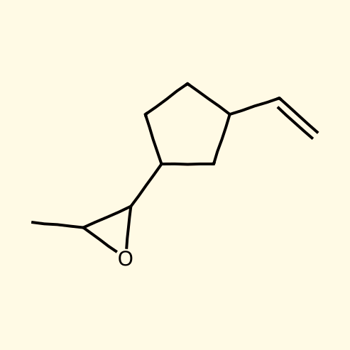 C=CC1CCC(C2OC2C)C1